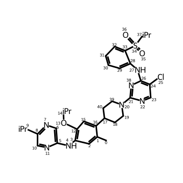 Cc1cc(Nc2cnc(C(C)C)cn2)c(OC(C)C)cc1C1CCN(c2ncc(Cl)c(Nc3ccccc3S(=O)(=O)C(C)C)n2)CC1